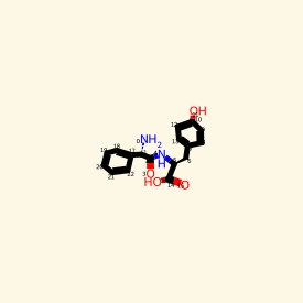 N[C@H](C(=O)N[C@@H](Cc1ccc(O)cc1)C(=O)O)c1ccccc1